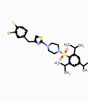 CC(C)c1cc(C(C)C)c(S(=O)(=O)N2CCN(c3nc(Cc4ccc(F)c(Cl)c4)cs3)CC2)c(C(C)C)c1